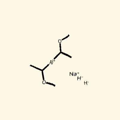 CO[CH](C)[Al+][CH](C)OC.[H-].[H-].[Na+]